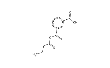 C[CH]CC(=O)OC(=O)c1cccc(C(=O)O)c1